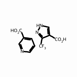 O=C(O)c1c[nH]nc1C(F)(F)F.O=C(O)c1cccnc1